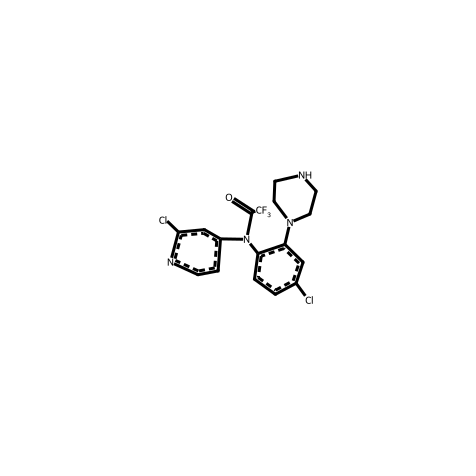 O=C(N(c1ccnc(Cl)c1)c1ccc(Cl)cc1N1CCNCC1)C(F)(F)F